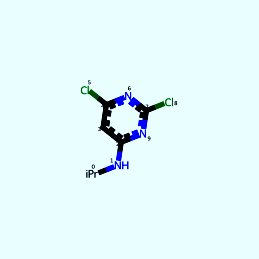 CC(C)Nc1cc(Cl)nc(Cl)n1